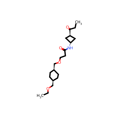 CCOC[C@H]1CC[C@@H](COCCC(=O)N[C@H]2C[C@H](C(=O)CC)C2)CC1